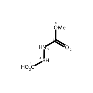 COC(=O)NBC(=O)O